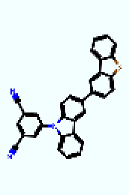 N#Cc1cc(C#N)cc(-n2c3ccccc3c3cc(-c4ccc5sc6ccccc6c5c4)ccc32)c1